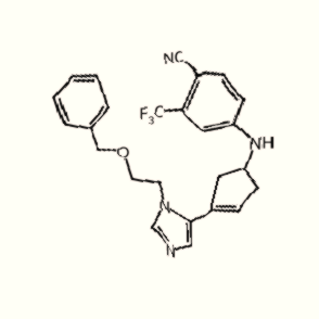 N#Cc1ccc(NC2CC=C(c3cncn3CCOCc3ccccc3)C2)cc1C(F)(F)F